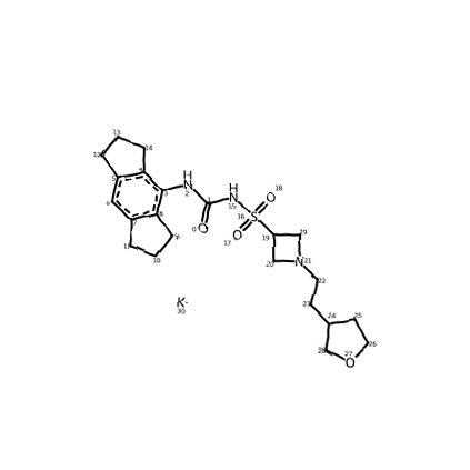 O=C(Nc1c2c(cc3c1CCC3)CCC2)NS(=O)(=O)C1CN(CCC2CCOC2)C1.[K]